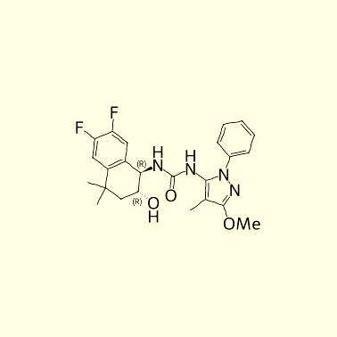 COc1nn(-c2ccccc2)c(NC(=O)N[C@@H]2c3cc(F)c(F)cc3C(C)(C)C[C@H]2O)c1C